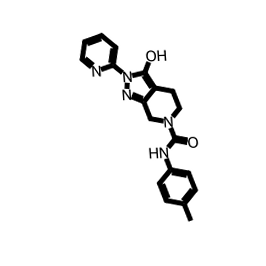 Cc1ccc(NC(=O)N2CCc3c(nn(-c4ccccn4)c3O)C2)cc1